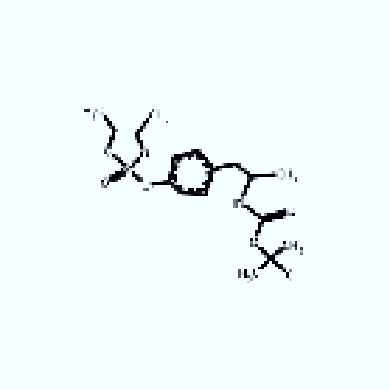 CCOP(=O)(OCC)Oc1ccc(CC(C)NC(=O)OC(C)(C)C)cc1